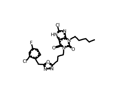 CCCCCn1c(=O)n(CCCc2nnc(Cc3ccc(F)cc3Cl)o2)c(=O)c2[nH]c(Cl)nc21